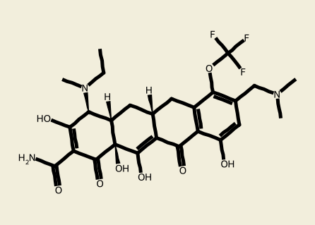 CCN(C)[C@@H]1C(O)=C(C(N)=O)C(=O)[C@@]2(O)C(O)=C3C(=O)c4c(O)cc(CN(C)C)c(OC(F)(F)F)c4C[C@H]3C[C@@H]12